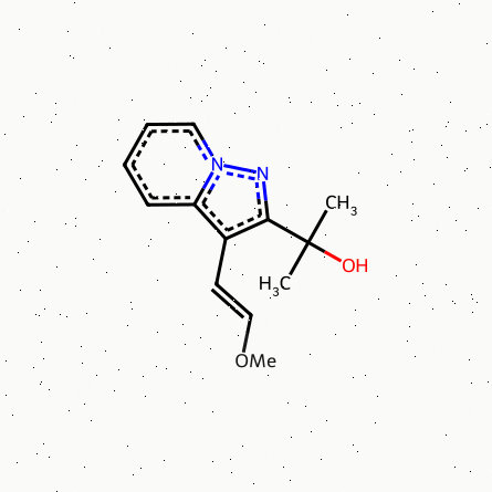 CO/C=C/c1c(C(C)(C)O)nn2ccccc12